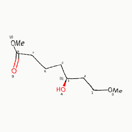 [CH2]OCC[C@@H](O)CCCC(=O)OC